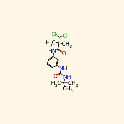 CC(C)(C)NC(=O)Nc1cccc(NC(=O)C(C)(C)C(Cl)Cl)c1